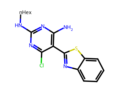 CCCCCCNc1nc(N)c(-c2nc3ccccc3s2)c(Cl)n1